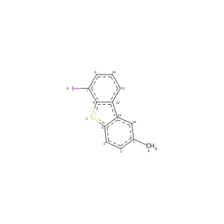 Cc1ccc2sc3c(I)cccc3c2c1